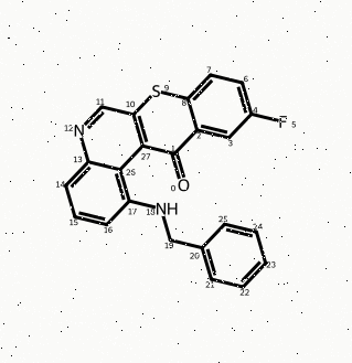 O=c1c2cc(F)ccc2sc2cnc3cccc(NCc4ccccc4)c3c12